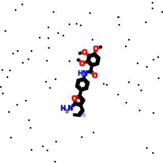 C/C=C\c1cc(-c2ccc(NC(=O)c3ccc(OC)c(OC)c3OC)cc2)oc1N